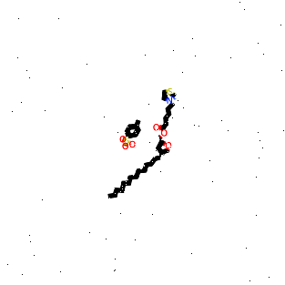 CCCCCCCCCCCCCC[C@@H]1CO[C@@H](COC(=O)CCCCC[n+]2ccsc2)C1.Cc1ccc(S(=O)(=O)[O-])cc1